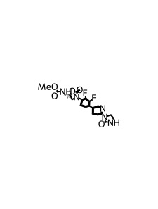 COC(=O)NC[C@H]1CN(c2ccc(-c3ccc(N4CCNC4=O)nc3)c(F)c2F)C(=O)O1